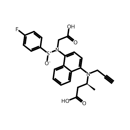 C#CCN(c1ccc(N(CC(=O)O)[S+]([O-])c2ccc(F)cc2)c2ccccc12)[C@@H](C)CC(=O)O